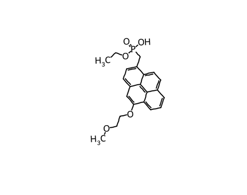 CCOP(=O)(O)Cc1ccc2cc(OCCOC)c3cccc4ccc1c2c43